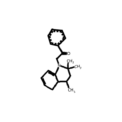 CC1CC(C)(C)N(CC(=O)c2ccccc2)C2=CC=CCC21